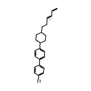 C=C/C=C/CCC1CCC(c2ccc(-c3ccc(CC)cc3)cc2)CC1